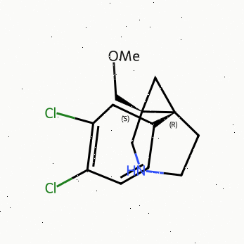 COC[C@]12CNCC[C@@]1(C1C=CC(Cl)=C(Cl)C1)C2